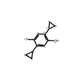 Oc1cc(C2CC2)c(F)cc1C1CC1